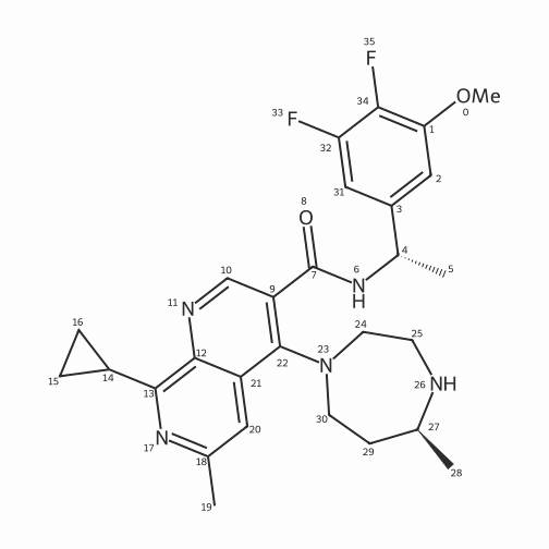 COc1cc([C@H](C)NC(=O)c2cnc3c(C4CC4)nc(C)cc3c2N2CCN[C@@H](C)CC2)cc(F)c1F